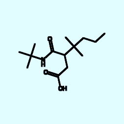 CCCC(C)(C)C(CC(=O)O)C(=O)NC(C)(C)C